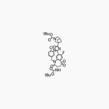 CC(C)(C)OC(=O)N[C@H]1CS(=O)(=O)c2cc(F)c(-c3noc(C45CC(CN(C(=O)OC(C)(C)C)C4)C5)n3)cc2N(Cc2ccc(Cl)cc2)C1=O